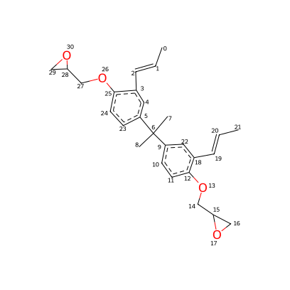 CC=Cc1cc(C(C)(C)c2ccc(OCC3CO3)c(C=CC)c2)ccc1OCC1CO1